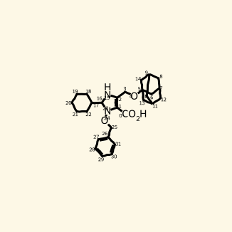 O=C(O)C1=C(COC23CC4CC(CC(C4)C2)C3)NC(C2CCCCC2)N1OCc1ccccc1